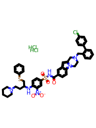 Cl.Cl.O=C(NS(=O)(=O)c1ccc(NC(CCN2CCCCC2)CSc2ccccc2)c([N+](=O)[O-])c1)c1ccc2c(c1)cc1n2CCN(Cc2ccccc2-c2ccc(Cl)cc2)C1